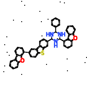 c1ccc(C2NC(c3ccc4c(c3)sc3ccc(-c5cccc6c5oc5ccccc56)cc34)NC(c3cccc4oc5ccccc5c34)N2)cc1